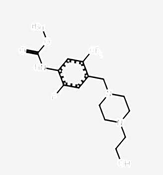 CC(C)(C)OC(=O)Nc1cc(C(F)(F)F)c(CN2CCN(CCO)CC2)cc1F